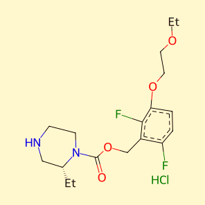 CCOCCOc1ccc(F)c(COC(=O)N2CCNC[C@H]2CC)c1F.Cl